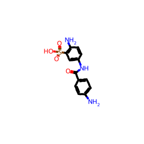 Nc1ccc(C(=O)Nc2ccc(N)c(S(=O)(=O)O)c2)cc1